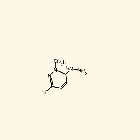 NNC1C=CC(Cl)=NN1C(=O)O